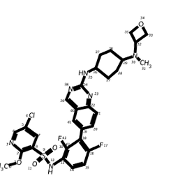 COc1ncc(Cl)cc1S(=O)(=O)Nc1ccc(F)c(-c2ccc3nc(NC4CCC(N(C)C5COC5)CC4)ncc3c2)c1F